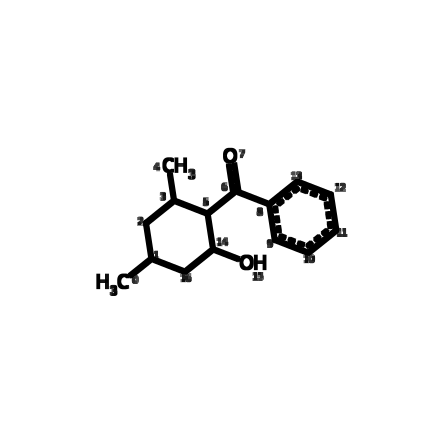 CC1CC(C)C(C(=O)c2ccccc2)C(O)C1